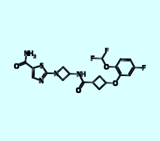 NC(=O)c1cnc(N2CC(NC(=O)C3CC(Oc4cc(F)ccc4OC(F)F)C3)C2)s1